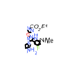 CCOC(=O)c1ncc(Oc2nc(N3CCC4(N)CCC3C4)c3c(n2)[nH]c2c(NC)cc(F)cc23)cn1